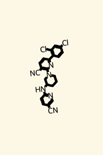 N#Cc1ccc(NC2CCCN(c3nc(-c4ccc(Cl)cc4Cl)ccc3C#N)C2)nc1